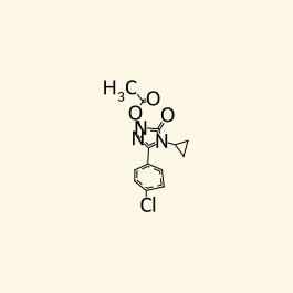 CC(=O)On1nc(-c2ccc(Cl)cc2)n(C2CC2)c1=O